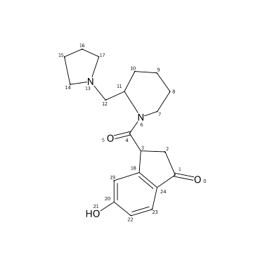 O=C1CC(C(=O)N2CCCCC2CN2CCCC2)c2cc(O)ccc21